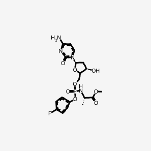 COC(=O)[C@H](C)NP(=O)(OCC1O[C@@H](n2ccc(N)nc2=O)C[C@H]1O)Oc1ccc(F)cc1